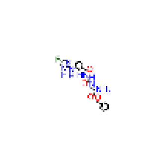 N[C@@H](CNC(=O)CNC(=O)c1cccc(NC2=NCC(F)CN2)c1)C(=O)OCc1ccccc1